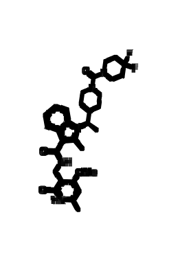 COc1cc(C)[nH]c(=O)c1CNC(=O)c1c(C)n([C@H](C)C2CCN(C(=O)N3CCC(F)(F)CC3)CC2)c2ccccc12